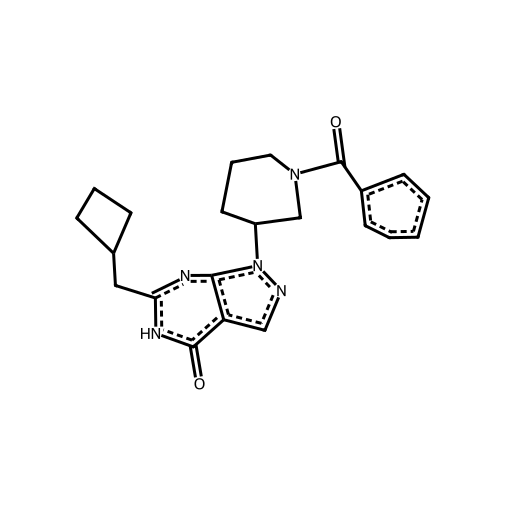 O=C(c1ccccc1)N1CCCC(n2ncc3c(=O)[nH]c(CC4CCC4)nc32)C1